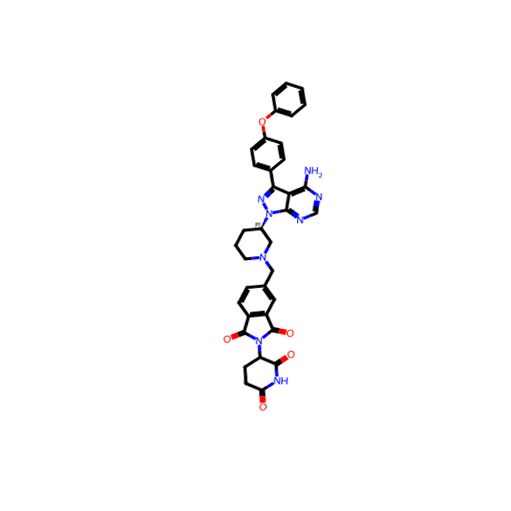 Nc1ncnc2c1c(-c1ccc(Oc3ccccc3)cc1)nn2[C@@H]1CCCN(Cc2ccc3c(c2)C(=O)N(C2CCC(=O)NC2=O)C3=O)C1